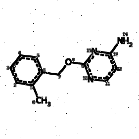 Cc1ccccc1COc1nccc(N)n1